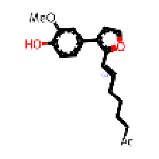 COc1cc(-c2ccoc2/C=C/CCCCC(C)=O)ccc1O